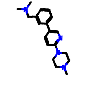 CN(C)Cc1cccc(-c2ccc(N3CCN(C)CC3)nc2)c1